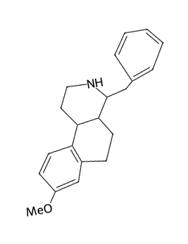 COc1ccc2c(c1)CCC1C(Cc3ccccc3)NCCC21